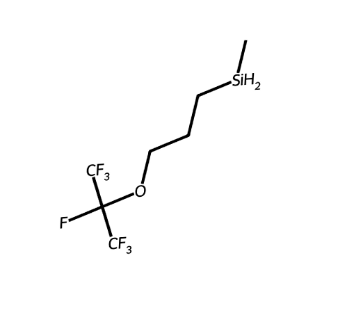 C[SiH2]CCCOC(F)(C(F)(F)F)C(F)(F)F